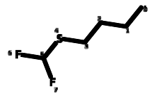 [CH2]CCCSC(F)F